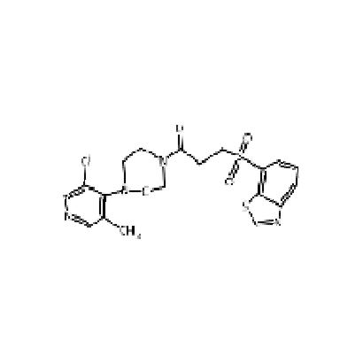 Cc1cncc(Cl)c1N1CCN(C(=O)CCS(=O)(=O)c2cccc3ncsc23)CC1